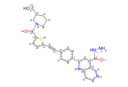 NNC(=O)c1cc(-c2ccc(C#Cc3ccc(C(=O)N4CCCC(C(=O)O)C4)s3)cc2)nc2ccncc12